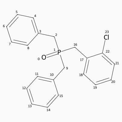 O=P(Cc1ccccc1)(Cc1ccccc1)Cc1ccccc1Cl